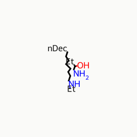 CCC(O)CN.CCCCCCCCCCCCCCCCCCNCC